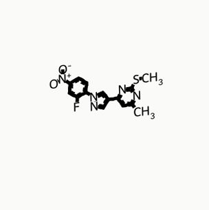 CSc1nc(C)cc(-c2cnn(-c3ccc([N+](=O)[O-])cc3F)c2)n1